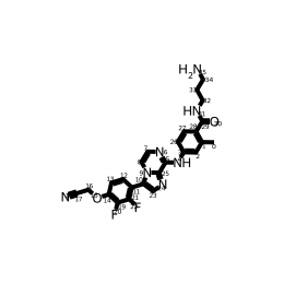 Cc1cc(Nc2nccn3c(-c4ccc(OCC#N)c(F)c4F)cnc23)ccc1C(=O)NCCCN